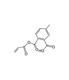 C=CC(=O)OC(=O)c1ccc(C)cc1C(=O)O